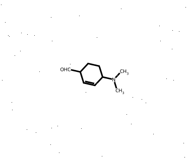 CN(C)C1C=CC(C=O)CC1